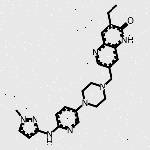 CCc1cc2ncc(CN3CCN(c4ccc(Nc5ccn(C)n5)nc4)CC3)cc2[nH]c1=O